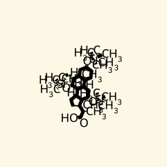 CC[C@H]1C(O[Si](C)(C)C)[C@@H]2[C@H](CC(O[Si](C)(C)C)[C@]3(C)[C@@H]([C@H](C)C(=O)O)CC[C@@H]23)[C@@]2(C)CCC(O[Si](C)(C)C(C)(C)C)C[C@@H]12